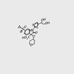 O=C(O)C(OC1CCOCC1)(C(=O)Nc1ncc(C(O)CO)s1)c1ccc(S(=O)(=O)C2CC2)cc1